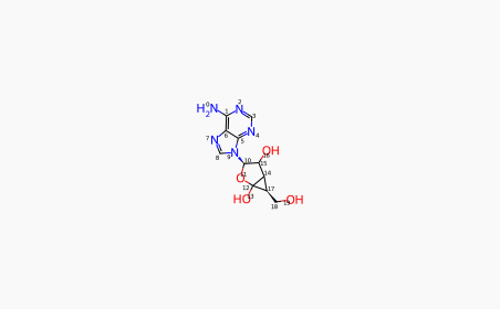 Nc1ncnc2c1ncn2[C@@H]1OC2(O)C(C1O)[C@H]2CO